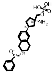 N[C@@]1(COP(=O)(O)O)CC[C@H](c2ccc3c(c2)CC[C@H](C[S+]([O-])c2ccccc2)C3)C1